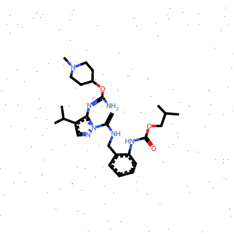 C=C(NCc1ccccc1NC(=O)OCC(C)C)n1ncc(C(C)C)c1/N=C(\N)OC1CCN(C)CC1